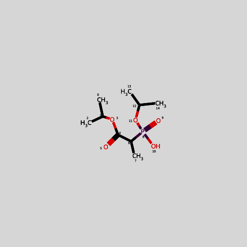 CC(C)OC(=O)C(C)P(=O)(O)OC(C)C